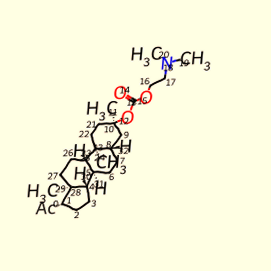 CC(=O)[C@H]1CC[C@H]2[C@@H]3CC[C@H]4C[C@](C)(OC(=O)OCCN(C)C)CC[C@]4(C)[C@H]3CC[C@]12C